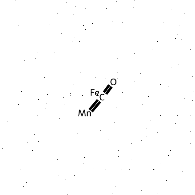 O=[C]=[Mn].[Fe]